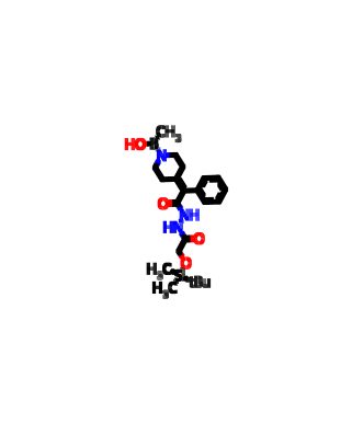 CB(O)N1CCC(=C(C(=O)NNC(=O)CO[Si](C)(C)C(C)(C)C)c2ccccc2)CC1